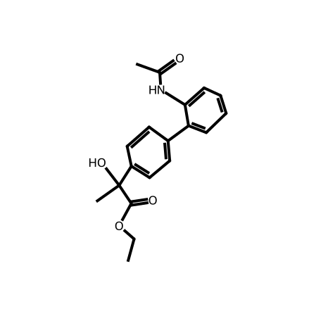 CCOC(=O)C(C)(O)c1ccc(-c2ccccc2NC(C)=O)cc1